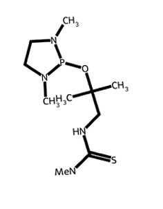 CNC(=S)NCC(C)(C)OP1N(C)CCN1C